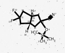 C[Si](C)(C)OC1(C#N)C[C@H]2CC(F)(F)C[C@H]2C1